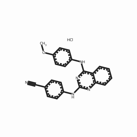 COc1ccc(Nc2nc(Nc3ccc(C#N)cc3)nc3ccccc23)cc1.Cl